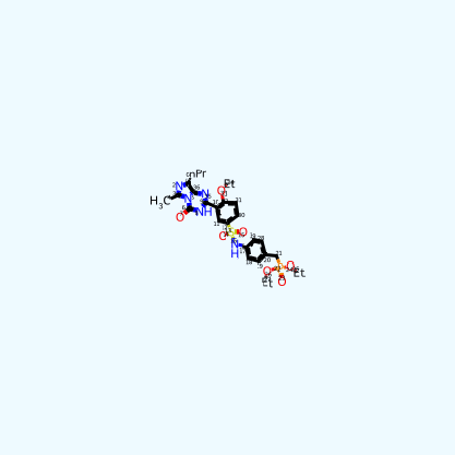 CCCc1nc(C)n2c(=O)[nH]c(-c3cc(S(=O)(=O)Nc4ccc(CP(=O)(OCC)OCC)cc4)ccc3OCC)nc12